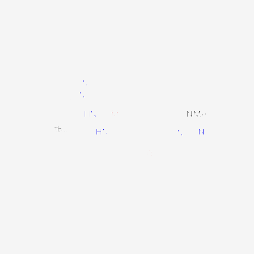 CNc1nccc(CCOc2ccc(NC(=O)Nc3ccnn3-c3cc(C(C)(C)C)ccc3C)c3ccccc23)n1